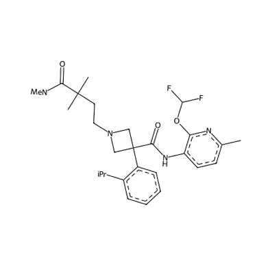 CNC(=O)C(C)(C)CCN1CC(C(=O)Nc2ccc(C)nc2OC(F)F)(c2ccccc2C(C)C)C1